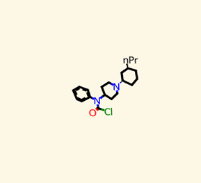 CCC[C@H]1CCC[C@H](N2CCC(N(C(=O)Cl)c3ccccc3)CC2)C1